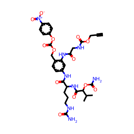 C#CCOC(=O)NCC(=O)Nc1cc(NC(=O)C(CCCNC(N)=O)NC(=O)C(OC(N)=O)C(C)C)ccc1COC(=O)Oc1ccc([N+](=O)[O-])cc1